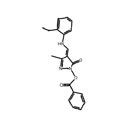 CCc1ccccc1NC=C1C(=O)N(OC(=O)c2ccccc2)N=C1C